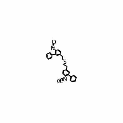 O=C=Nc1ccc(CCSCCc2ccc(N=C=O)c(-c3ccccc3)c2)cc1-c1ccccc1